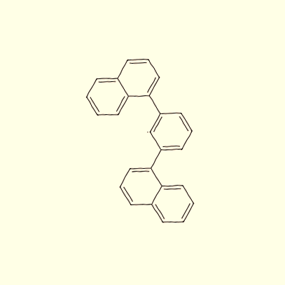 [c]1c(-c2cccc3ccccc23)cccc1-c1cccc2ccccc12